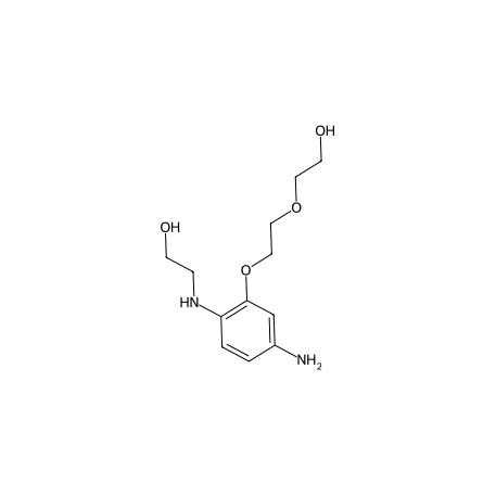 Nc1ccc(NCCO)c(OCCOCCO)c1